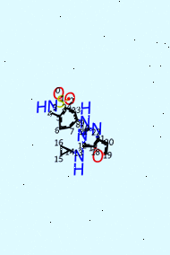 O=S1(=O)NCc2ccc(Nc3nc(NC4CC4)c4occc4n3)cc21